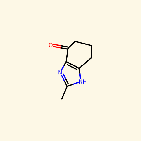 Cc1nc2c([nH]1)CCCC2=O